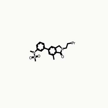 Cc1cc(-c2cccc(N(C)S(C)(=O)=O)c2)cc2c1C(=O)N(CCC(C)C)C2